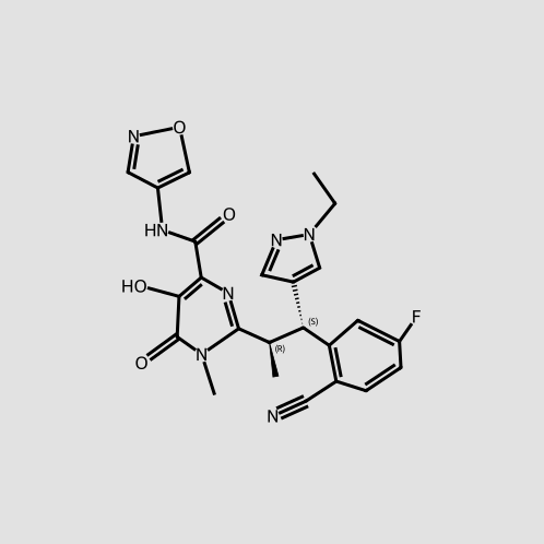 CCn1cc([C@H](c2cc(F)ccc2C#N)[C@@H](C)c2nc(C(=O)Nc3cnoc3)c(O)c(=O)n2C)cn1